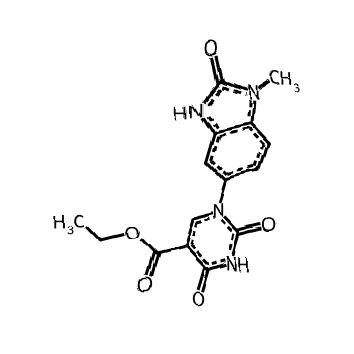 CCOC(=O)c1cn(-c2ccc3c(c2)[nH]c(=O)n3C)c(=O)[nH]c1=O